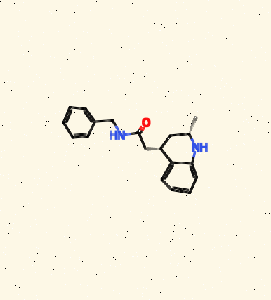 C[C@H]1C[C@@H](CC(=O)NCc2ccccc2)c2ccccc2N1